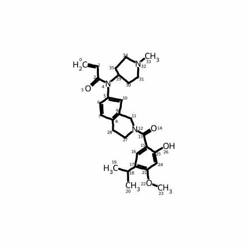 C=CC(=O)N(c1ccc2c(c1)CN(C(=O)c1cc(C(C)C)c(OC)cc1O)CC2)C1CCN(C)CC1